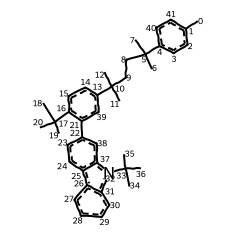 Cc1ccc(C(C)(C)CCC(C)(C)c2ccc(C(C)(C)C)c(-c3ccc4c5ccccc5n(C(C)(C)C)c4c3)c2)cc1